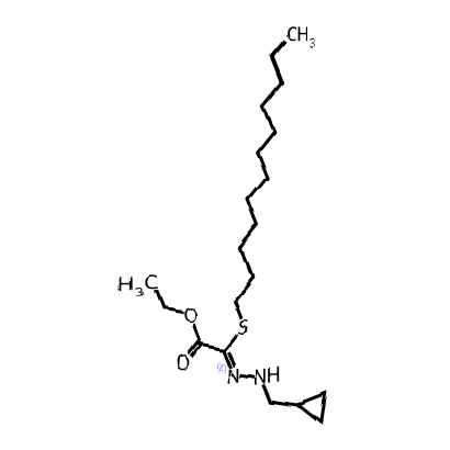 CCCCCCCCCCCCS/C(=N\NCC1CC1)C(=O)OCC